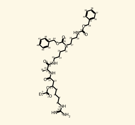 CCC(=O)OC(CCCCNC(=N)N)CC(=O)N[C@@H](C)C(=O)NCCCCN(CCCNC(=O)OCc1ccccc1)C(=O)OCc1ccccc1